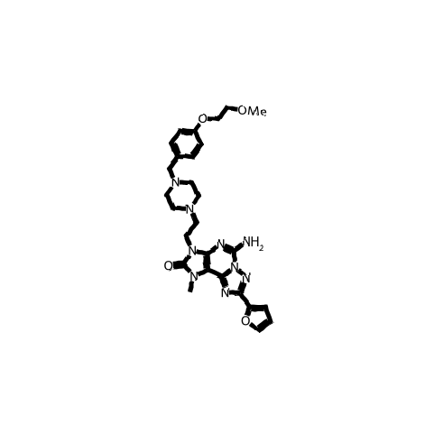 COCCOc1ccc(CN2CCN(CCn3c(=O)n(C)c4c3nc(N)n3nc(-c5ccco5)nc43)CC2)cc1